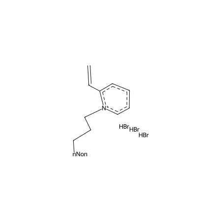 Br.Br.Br.C=Cc1cccc[n+]1CCCCCCCCCCCC